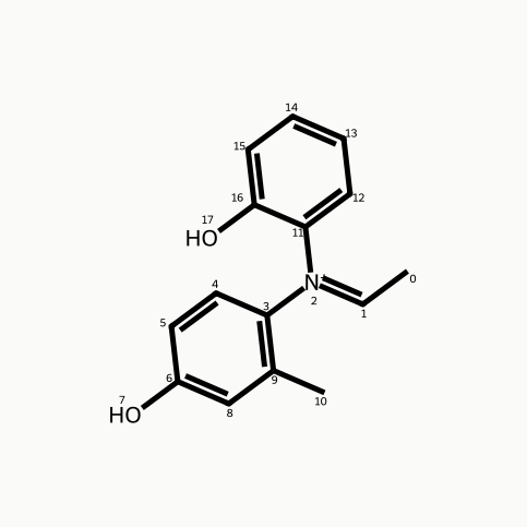 CC=[N+](c1ccc(O)cc1C)c1ccccc1O